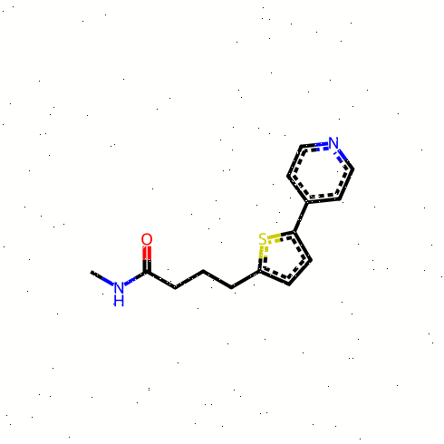 CNC(=O)CCCc1ccc(-c2ccncc2)s1